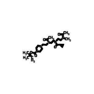 CC(=O)N(C)CCN(CCN(CCN1CCN(C(=O)OC(C)(C)C)CC1)C(C)=O)C(=O)C1CC1